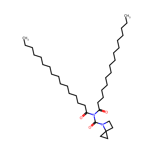 CCCCCCCCCCCCCCCC(=O)N(C(=O)CCCCCCCCCCCCCCC)C(=O)N1CCC12CC2